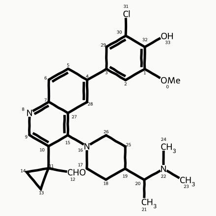 COc1cc(-c2ccc3ncc(C4(C=O)CC4)c(N4CCC(C(C)N(C)C)CC4)c3c2)cc(Cl)c1O